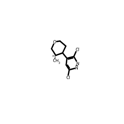 C[C@@H]1COCCC1c1cc(Cl)nnc1Cl